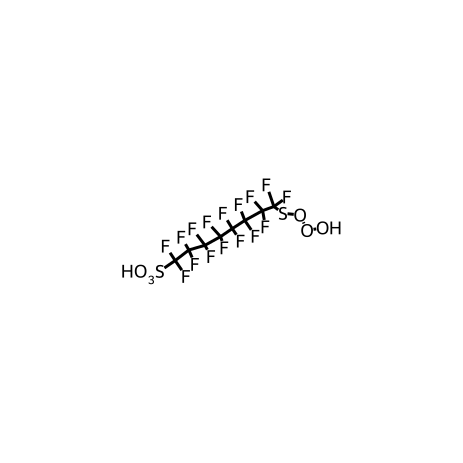 O=S(=O)(O)C(F)(F)C(F)(F)C(F)(F)C(F)(F)C(F)(F)C(F)(F)C(F)(F)C(F)(F)SOOO